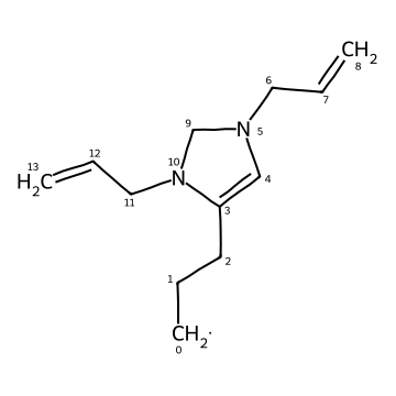 [CH2]CCC1=CN(CC=C)CN1CC=C